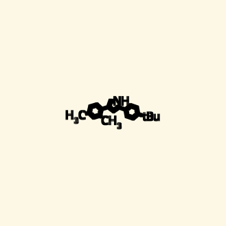 Cc1ccc(-c2c[nH]c(-c3ccc(C(C)(C)C)cc3)c2)c(C)c1